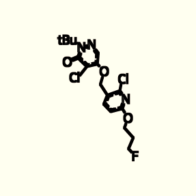 CC(C)(C)n1ncc(OCc2ccc(OCCCF)nc2Cl)c(Cl)c1=O